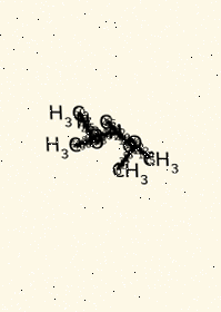 CCCCCCCCCC1(CCCCCC)OCC(CCCCN(CCCC)CCCCC2COC(CCCCCC)(CCCCCCCCC)O2)O1